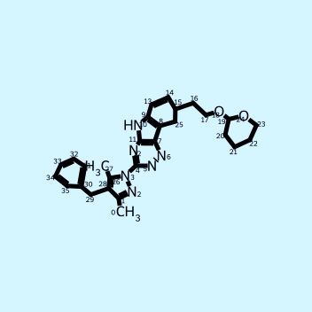 Cc1nn(-c2nnc3c4c([nH]c3n2)C=CC(CCOC2CCCCO2)C4)c(C)c1Cc1ccccc1